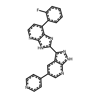 Fc1ccccc1-c1ccnc2[nH]c(-c3n[nH]c4ncc(-c5ccncc5)cc34)nc12